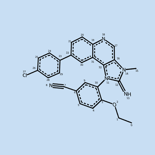 CCOc1ccc(C#N)cc1-n1c(=N)n(C)c2cnc3ccc(-c4ccc(Cl)cc4)cc3c21